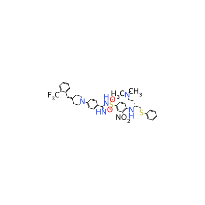 CN(C)CC[C@H](CSc1ccccc1)Nc1ccc(S(=O)(=O)NC(=N)c2ccc(N3CCC(=Cc4ccccc4C(F)(F)F)CC3)cc2)cc1[N+](=O)[O-]